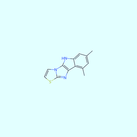 Cc1cc(C)c2c(c1)[nH]c1c2nc2sccn21